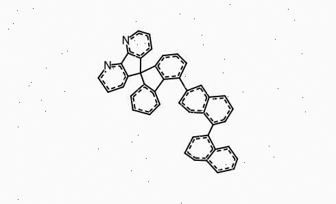 c1ccc2c(c1)-c1c(-c3ccc4c(-c5cccc6ccccc56)cccc4c3)cccc1C21c2cccnc2-c2ncccc21